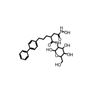 O=C(CC(CCCc1ccc(-c2ccccc2)cc1)C(=O)NC1C(O)OC(CO)C(O)C1O)NO